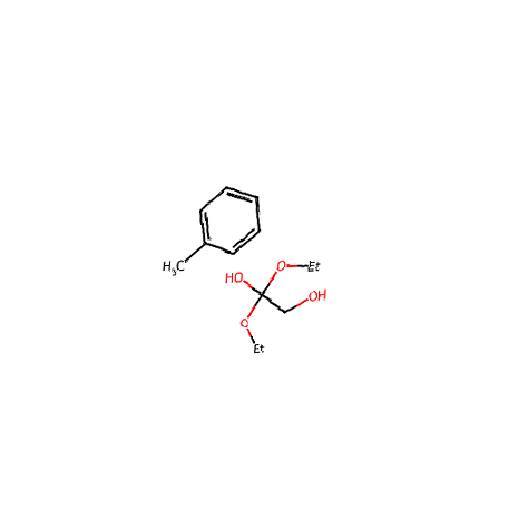 CCOC(O)(CO)OCC.Cc1ccccc1